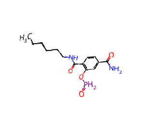 CCCCCCNC(=O)c1ccc(C(N)=O)cc1O[PH2]=O